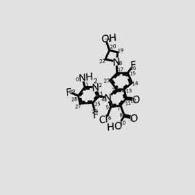 Nc1nc(-n2c(Cl)c(C(=O)O)c(=O)c3cc(F)c(N4CC(O)C4)cc32)c(F)cc1F